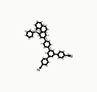 N#Cc1ccc(-c2cc(-c3ccc(C#N)cc3)cc(-c3ccc(-c4cc5ccc6cccc7c6c5c(c4)n7-c4ccccc4)cc3)c2)cc1